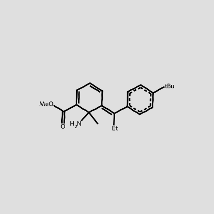 CCC(=C1C=CC=C(C(=O)OC)C1(C)N)c1ccc(C(C)(C)C)cc1